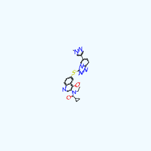 Cn1cc(-c2ccc3nnc(Sc4ccc5ncc6c(c5c4)OCCN6C(=O)C4CC4)n3c2)cn1